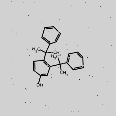 CC(C)(c1ccccc1)c1ccc(O)cc1C(C)(C)c1ccccc1